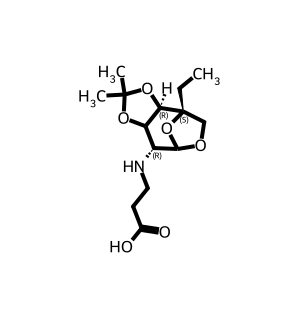 CC[C@@]12COC(O1)[C@H](NCCC(=O)O)C1OC(C)(C)O[C@H]12